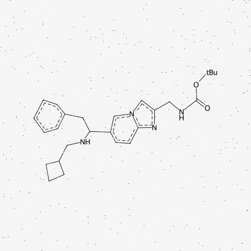 CC(C)(C)OC(=O)NCc1cn2cc(C(Cc3ccccc3)NCC3CCC3)ccc2n1